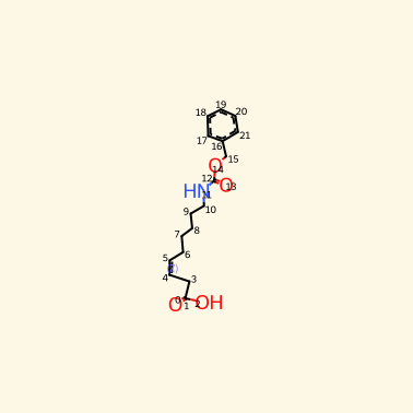 O=C(O)C/C=C\CCCCCNC(=O)OCc1ccccc1